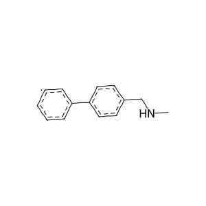 CNCc1ccc(-c2c[c]ccc2)cc1